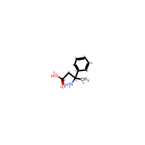 CC(N)(CC(=O)O)c1ccccc1